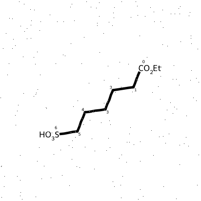 CCOC(=O)CCCCCS(=O)(=O)O